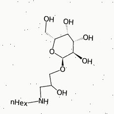 CCCCCCNCC(O)CO[C@H]1O[C@H](CO)[C@H](O)[C@H](O)[C@H]1O